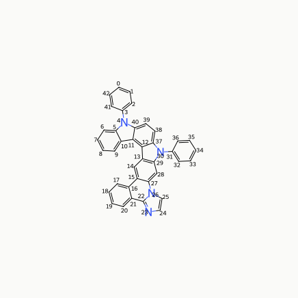 c1ccc(-n2c3ccccc3c3c4c5cc6c7ccccc7c7nccn7c6cc5n(-c5ccccc5)c4ccc32)cc1